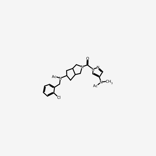 CC(=O)N(C)c1cnn(C(=O)N2CC3CC(N(Cc4ccccc4Cl)C(C)=O)CC3C2)c1